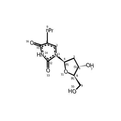 CCCc1cn([C@H]2C[C@H](O)[C@@H](CO)O2)c(=O)[nH]c1=O